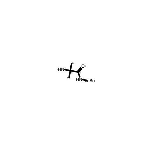 CCCCNC(=O)C(C)(C)[NH]